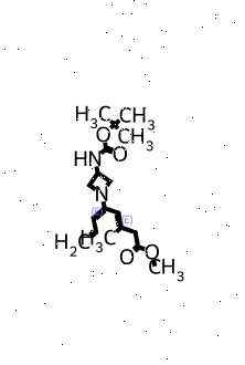 C=C/C=C(\C=C(/C)CC(=O)OC)N1CC(NC(=O)OC(C)(C)C)C1